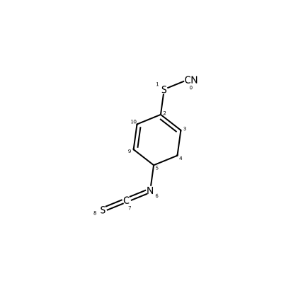 N#CSC1=CCC(N=C=S)C=C1